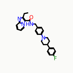 CCc1nc2ccccn2c1C(=O)NCc1ccc(N2CCC(c3ccc(F)cc3)CC2)cc1